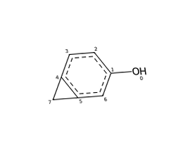 Oc1ccc2c(c1)C2